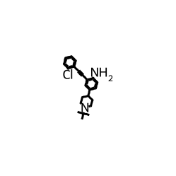 CC(C)(C)N1CCC(c2ccc(N)c(C#Cc3ccccc3Cl)c2)CC1